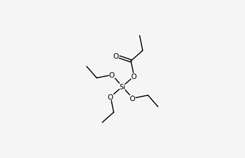 CCO[Si](OCC)(OCC)OC(=O)CC